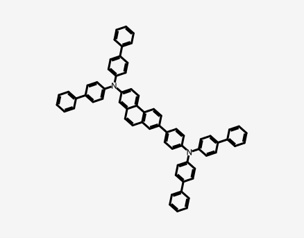 c1ccc(-c2ccc(N(c3ccc(-c4ccccc4)cc3)c3ccc(-c4ccc5c(ccc6cc(N(c7ccc(-c8ccccc8)cc7)c7ccc(-c8ccccc8)cc7)ccc65)c4)cc3)cc2)cc1